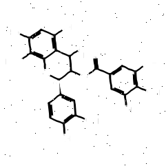 Cc1c(O)cc(O)c2c1O[C@H](c1ccc(O)c(O)c1)C(OC(=O)c1cc(O)c(O)c(O)c1)C2C